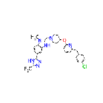 CN1c2ccc(-c3nnc(C(F)(F)F)[nH]3)cc2NC1CN1CCC(Oc2cccc(Cc3ccc(Cl)cc3)n2)CC1